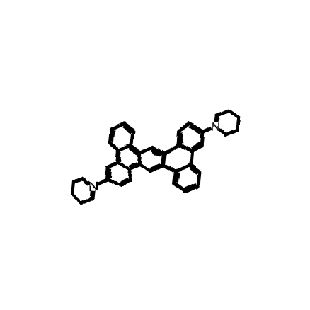 c1ccc2c(c1)c1cc(N3CCCCC3)ccc1c1cc3c4ccccc4c4cc(N5CCCCC5)ccc4c3cc21